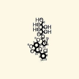 COc1cc(OC)c2c(=O)cc(-c3ccccc3Cl)oc2c1[C@H]1CCN(C)[C@@H]1COC(=O)[C@H](O)[C@@H](O)[C@H](O)[C@H](O)CO